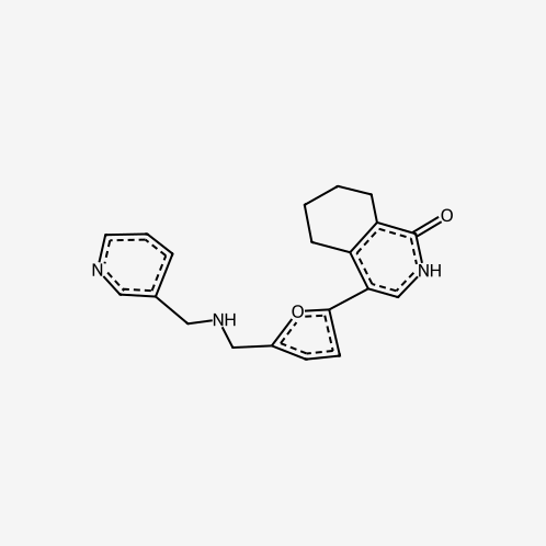 O=c1[nH]cc(-c2ccc(CNCc3cccnc3)o2)c2c1CCCC2